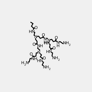 CCCC(=O)NCCN(CCC(=O)NCCN(CCC(=O)NCCN)CCC(=O)NCCN)CCC(=O)NCN(CCC(=O)NCCN)NCCC(=O)NCCN